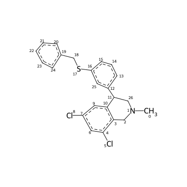 CN1Cc2c(Cl)cc(Cl)cc2C(c2cccc(SCc3ccccc3)c2)C1